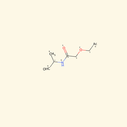 CC(=O)COCC(=O)NC(C)C=O